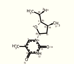 [2H][C@H](C)[C@H]1O[C@@H](n2cc(C)c(=O)[nH]c2=O)C[C@@H]1C